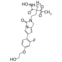 CC(CCN1Cc2cc(-c3ccc(OCCO)cc3F)cn2C1=O)(C(=O)NO)S(C)(=O)=O